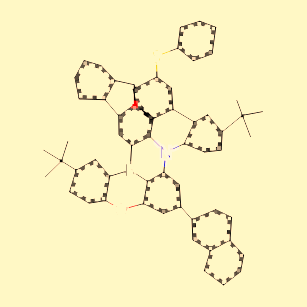 CC(C)(C)c1ccc2c(c1)B1c3cc4c(cc3N(c3ccc(C(C)(C)C)cc3-c3cccc(Sc5ccccc5)c3)c3cc(-c5ccc6ccccc6c5)cc(c31)O2)Cc1ccccc1-4